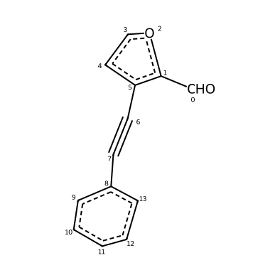 O=Cc1occc1C#Cc1ccccc1